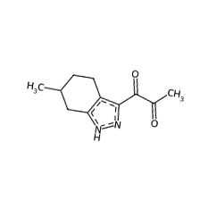 CC(=O)C(=O)c1n[nH]c2c1CCC(C)C2